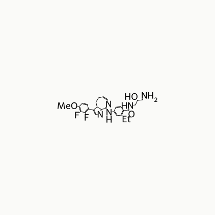 CCc1cc(N/C2=N/C=C\CCC3C(c4ccc(OC)c(F)c4F)=CN=C23)ccc1C(=O)NCC(O)CN